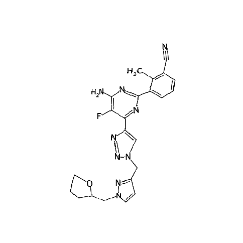 Cc1c(C#N)cccc1-c1nc(N)c(F)c(-c2cn(Cc3ccn(CC4CCCO4)n3)nn2)n1